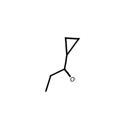 CCC([O])C1CC1